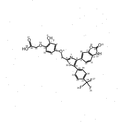 Cc1cc(OCc2nc(-c3ccc4[nH]c(=O)oc4c3)c(-c3ccc(C(F)(F)F)cc3)s2)ccc1OCC(=O)O